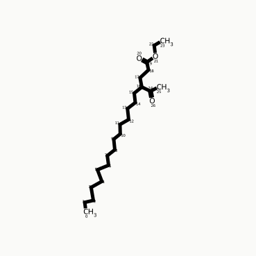 CCCCCCCCCCCCCCCCC(CCC(=O)OCC)C(C)=O